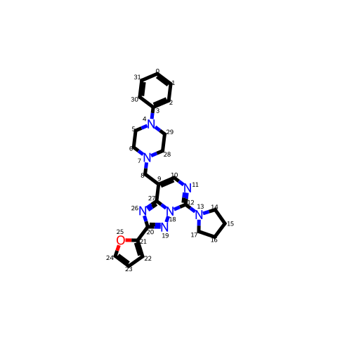 c1ccc(N2CCN(Cc3cnc(N4CCCC4)n4nc(-c5ccco5)nc34)CC2)cc1